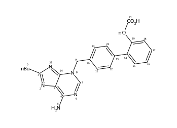 CCCCc1nc2c(N)ncn(Cc3ccc(-c4ccccc4OC(=O)O)cc3)c-2n1